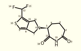 O=C1CCC[C@H](N2Cc3csc(C(F)F)c3C2)C(=O)N1